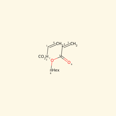 C=CC(=O)O.C=CC(=O)OCCCCCC